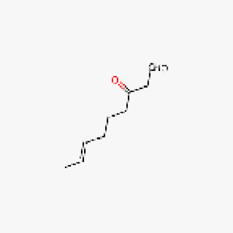 CC=CCCCC(=O)CC=O